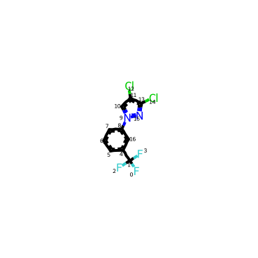 FC(F)(F)c1c[c]cc(-n2cc(Cl)c(Cl)n2)c1